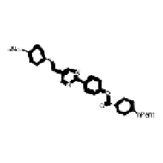 CCCCCCCCC[C@H]1CC[C@H](CCc2cnc(-c3ccc(OC(=O)[C@H]4CC[C@H](CCCCC)CC4)cc3)nc2)CC1